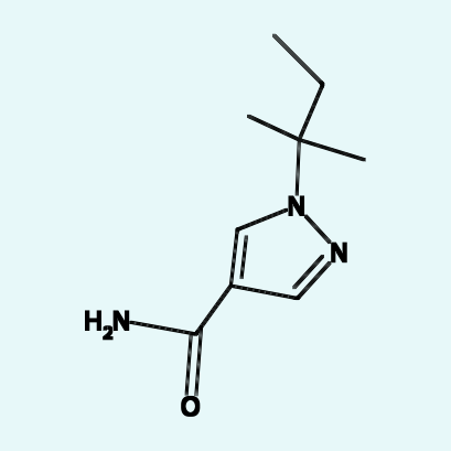 CCC(C)(C)n1cc(C(N)=O)cn1